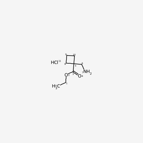 CCOC(=O)C1(CN)CCC1.Cl